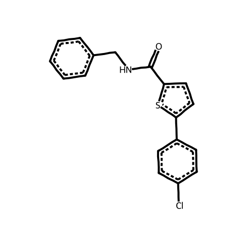 O=C(NCc1ccccc1)c1ccc(-c2ccc(Cl)cc2)s1